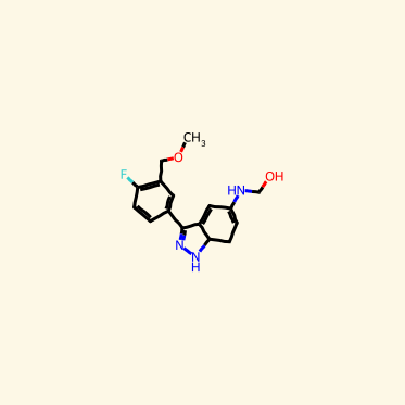 COCc1cc(C2=NNC3CC=C(NCO)C=C23)ccc1F